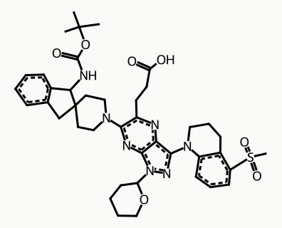 CC(C)(C)OC(=O)NC1c2ccccc2CC12CCN(c1nc3c(nc1CCC(=O)O)c(N1CCCc4c1cccc4S(C)(=O)=O)nn3C1CCCCO1)CC2